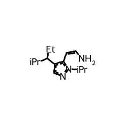 CCC(c1cnn(C(C)C)c1/C=C\N)C(C)C